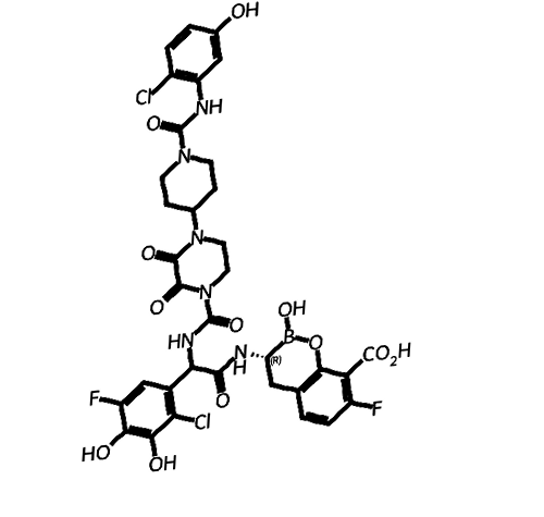 O=C(O)c1c(F)ccc2c1OB(O)[C@@H](NC(=O)C(NC(=O)N1CCN(C3CCN(C(=O)Nc4cc(O)ccc4Cl)CC3)C(=O)C1=O)c1cc(F)c(O)c(O)c1Cl)C2